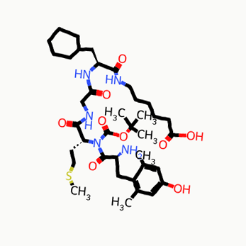 CSCC[C@H](C(=O)NCC(=O)N[C@@H](CC1CCCCC1)C(=O)NCCCCCC(=O)O)N(C(=O)OC(C)(C)C)C(=O)[C@@H](N)Cc1c(C)cc(O)cc1C